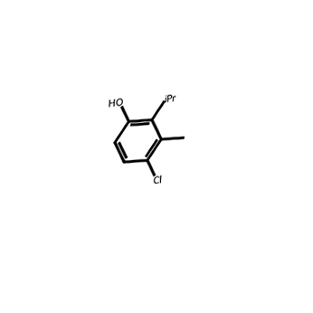 Cc1c(Cl)ccc(O)c1C(C)C